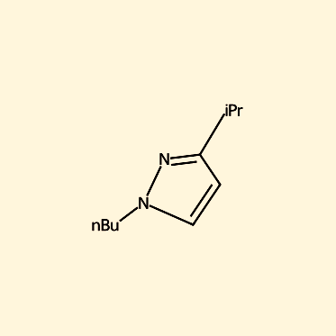 CCCCn1ccc(C(C)C)n1